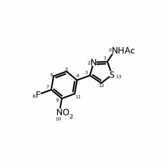 CC(=O)Nc1nc(-c2ccc(F)c([N+](=O)[O-])c2)cs1